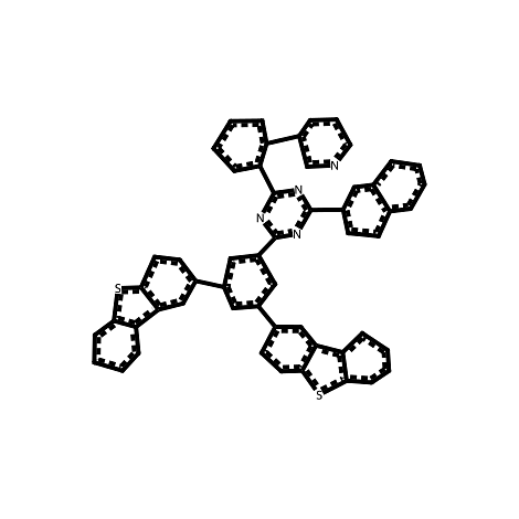 c1cncc(-c2ccccc2-c2nc(-c3cc(-c4ccc5sc6ccccc6c5c4)cc(-c4ccc5sc6ccccc6c5c4)c3)nc(-c3ccc4ccccc4c3)n2)c1